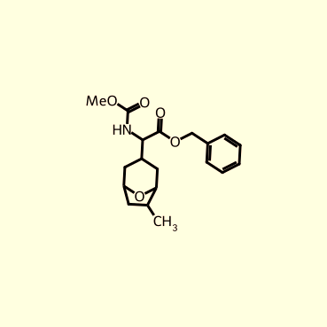 COC(=O)NC(C(=O)OCc1ccccc1)C1CC2CC(C)C(C1)O2